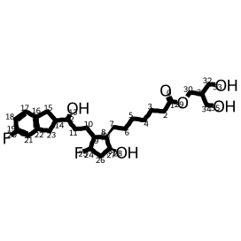 O=C(CCCCCC[C@@H]1C(CCC(O)C2Cc3ccc(F)cc3C2)C(F)C[C@@H]1O)OCC(CO)CO